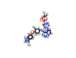 Cc1cc(Nc2ncnn3ccc(N4CCN(C(=O)OC(C)(C)C)CC4)c23)ccc1Oc1ccc2c(c1)ncn2C